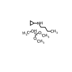 CCCCNC1CC1.CO[SiH](OC)OC